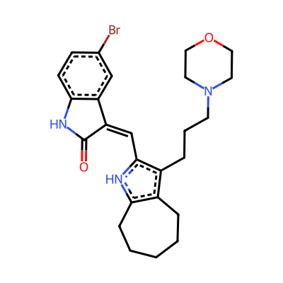 O=C1Nc2ccc(Br)cc2/C1=C/c1[nH]c2c(c1CCCN1CCOCC1)CCCCC2